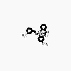 C[n+]1cccc(/C=N/Nc2ccc([N+](=O)[O-])cc2S(=O)(=O)Nc2ccccc2Cl)c1